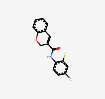 O=C(Nc1ccc(Cl)cc1F)C1=Cc2ccccc2OC1